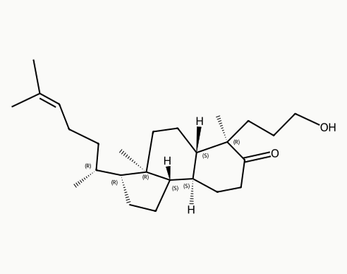 CC(C)=CCC[C@@H](C)[C@H]1CC[C@H]2[C@@H]3CCC(=O)[C@](C)(CCCO)[C@H]3CC[C@]12C